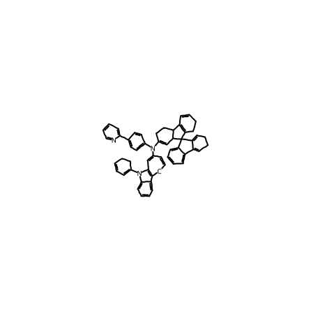 C1=CCCC(n2c3c(c4ccccc42)CC=CC(N(C2=CC4C(CC2)C2=C(CCC=C2)C42C4=CCCC=C4c4ccccc42)c2ccc(-c4ccccn4)cc2)=C3)=C1